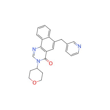 O=c1c2cc(Cc3cccnc3)c3ccccc3c2ncn1C1CCOCC1